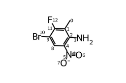 Cc1c(N)c([N+](=O)[O-])cc(Br)c1F